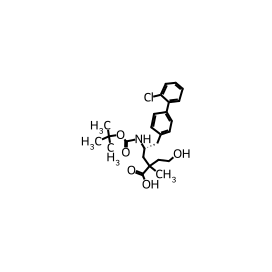 CC(C)(C)OC(=O)N[C@H](Cc1ccc(-c2ccccc2Cl)cc1)CC(C)(CCO)C(=O)O